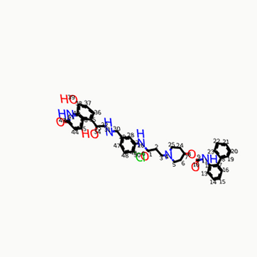 O=C(CCN1CCC(OC(=O)Nc2ccccc2-c2ccccc2)CC1)Nc1cc(CNCC(O)c2ccc(O)c3[nH]c(=O)ccc23)ccc1Cl